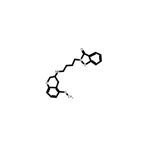 COc1cccc2c1CC(NCCCCn1sc3ccccc3c1=O)CO2